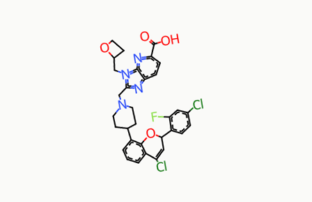 O=C(O)c1ccc2nc(CN3CCC(c4cccc5c4OC(c4ccc(Cl)cc4F)C=C5Cl)CC3)n(CC3CCO3)c2n1